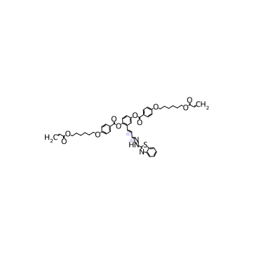 C=CC(=O)OCCCCCCOc1ccc(C(=O)Oc2ccc(OC(=O)c3ccc(OCCCCCCOC(=O)C=C)cc3)c(/C=C/C=N/Nc3nc4ccccc4s3)c2)cc1